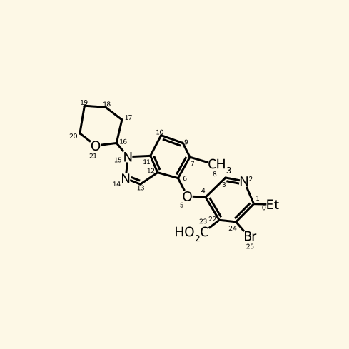 CCc1ncc(Oc2c(C)ccc3c2cnn3C2CCCCO2)c(C(=O)O)c1Br